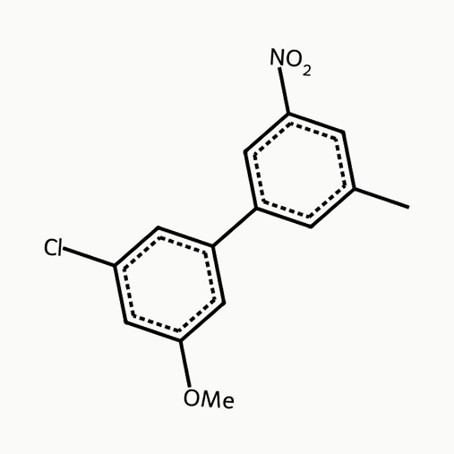 COc1cc(Cl)cc(-c2cc(C)cc([N+](=O)[O-])c2)c1